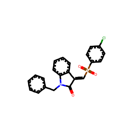 O=C1/C(=C/S(=O)(=O)c2ccc(Cl)cc2)c2ccccc2N1Cc1ccccc1